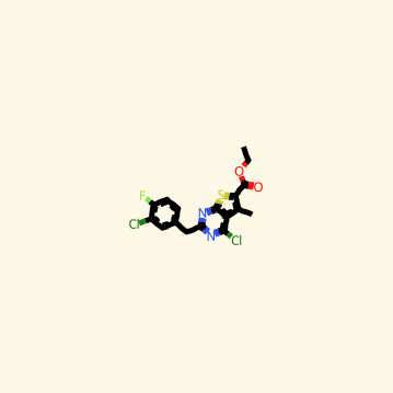 CCOC(=O)c1sc2nc(Cc3ccc(F)c(Cl)c3)nc(Cl)c2c1C